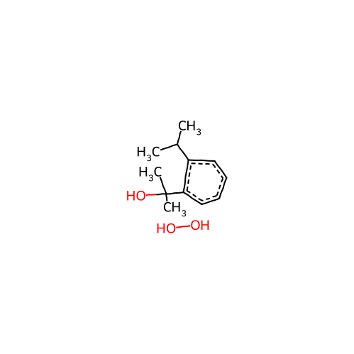 CC(C)c1ccccc1C(C)(C)O.OO